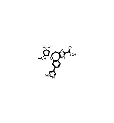 CNC1CCS(=O)(=O)C1.O=C(O)c1nc2c(s1)CCOc1cc(-c3cn[nH]c3)ccc1-2